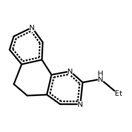 CCNc1ncc2c(n1)-c1cnccc1CC2